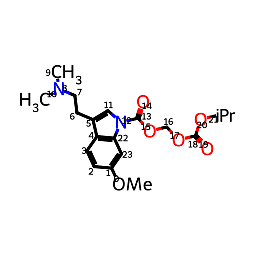 COc1ccc2c(CCN(C)C)cn(C(=O)OCOC(=O)OC(C)C)c2c1